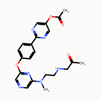 CC(=O)CNCCN(C)c1cncc(Oc2ccc(-c3ncc(OC(C)=O)cn3)cc2)n1